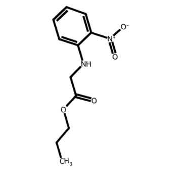 CCCOC(=O)CNc1ccccc1[N+](=O)[O-]